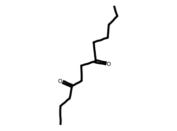 CCCCCC(=O)CCC(=O)CCC